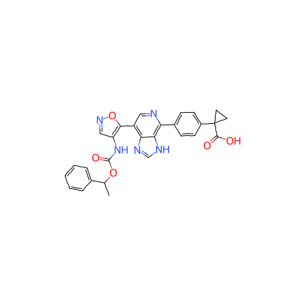 CC(OC(=O)Nc1cnoc1-c1cnc(-c2ccc(C3(C(=O)O)CC3)cc2)c2[nH]cnc12)c1ccccc1